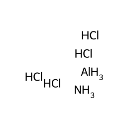 Cl.Cl.Cl.Cl.N.[AlH3]